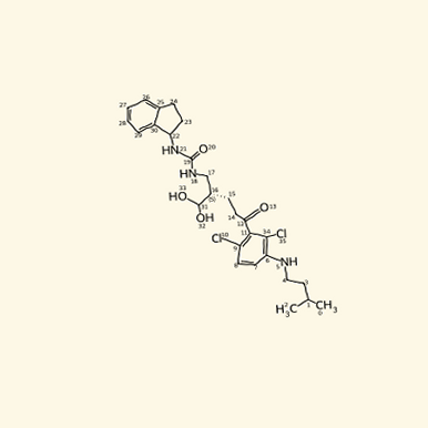 CC(C)CCNc1ccc(Cl)c(C(=O)CC[C@@H](CNC(=O)NC2CCc3ccccc32)C(O)O)c1Cl